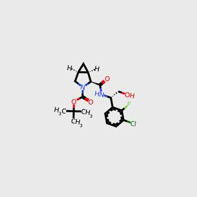 CC(C)(C)OC(=O)N1C[C@H]2C[C@H]2[C@H]1C(=O)N[C@H](CO)c1cccc(Cl)c1F